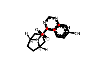 N#Cc1ccc(CS(=O)(=O)N2[C@@H]3CC[C@H]2CN(c2ncnc4[nH]ccc24)C3)cc1